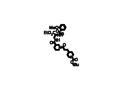 CCOC(=O)[C@H](CNC(=O)C1CCCN(C(=O)CCC2CCN(C(=O)OC(C)(C)C)CC2)C1)NS(=O)(=O)c1ccccc1OC